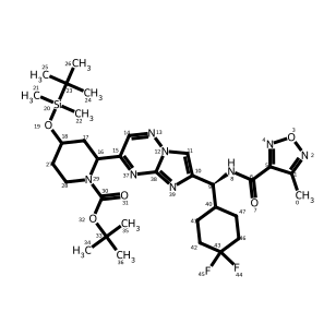 Cc1nonc1C(=O)N[C@H](c1cn2ncc(C3CC(O[Si](C)(C)C(C)(C)C)CCN3C(=O)OC(C)(C)C)nc2n1)C1CCC(F)(F)CC1